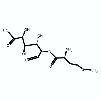 CSCC[C@H](N)C(=O)O[C@@H](C=O)[C@@H](O)[C@@H](O)[C@H](O)C(=O)O